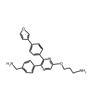 NCCCOc1cnc(-c2ccc(CN)cc2)c(-c2ccc(-c3ccoc3)cc2)n1